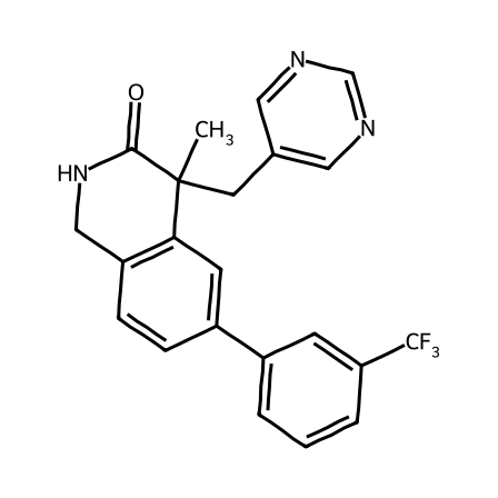 CC1(Cc2cncnc2)C(=O)NCc2ccc(-c3cccc(C(F)(F)F)c3)cc21